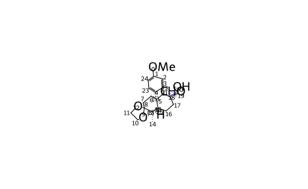 COc1ccc([C@@]23CCC4(OCCO4)[C@@H](C)[C@@H]2CC/C(=C/O)C3C=O)cc1